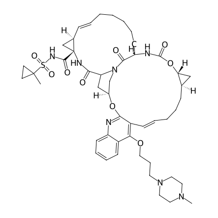 CN1CCN(CCCOc2c3c(nc4ccccc24)O[C@H]2CC4C(=O)N[C@]5(C(=O)NS(=O)(=O)C6(C)CC6)C[C@H]5/C=C/CCCCC[C@H](NC(=O)O[C@@H]5C[C@H]5CCC/C=C/3)C(=O)N4C2)CC1